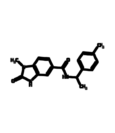 CC(NC(=O)c1ccc2c(c1)[nH]c(=O)n2C)c1ccc(C(F)(F)F)cc1